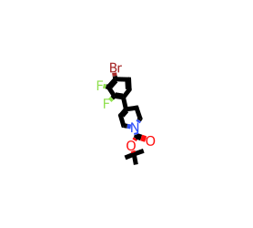 CC(C)(C)OC(=O)N1CC=C(c2ccc(Br)c(F)c2F)CC1